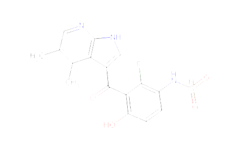 Cc1cnc2[nH]cc(C(=O)c3c(O)ccc(N[SH](=O)=O)c3F)c2c1C